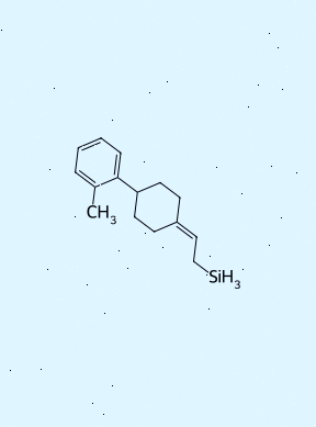 Cc1ccccc1C1CCC(=CC[SiH3])CC1